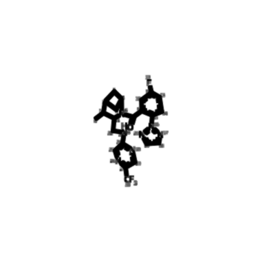 CC1C2CC(C2)N(C(=O)c2cc(F)ccc2-n2nccn2)C1CNc1cnc(C(F)(F)F)cn1